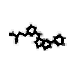 O=C(O)CCc1cccc(OC2CCc3ccc(-c4ccccc4)cc32)c1